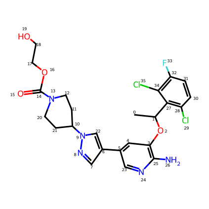 CC(Oc1cc(-c2cnn(C3CCN(C(=O)OCCO)CC3)c2)cnc1N)c1c(Cl)ccc(F)c1Cl